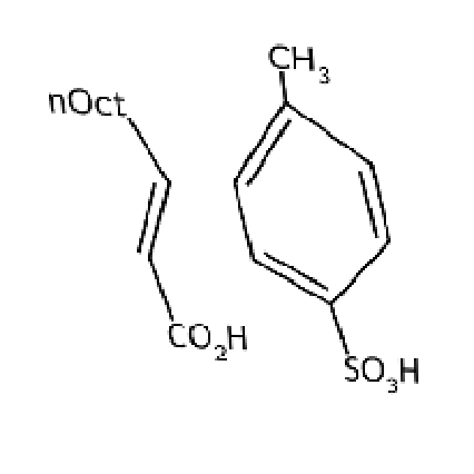 CCCCCCCCC=CC(=O)O.Cc1ccc(S(=O)(=O)O)cc1